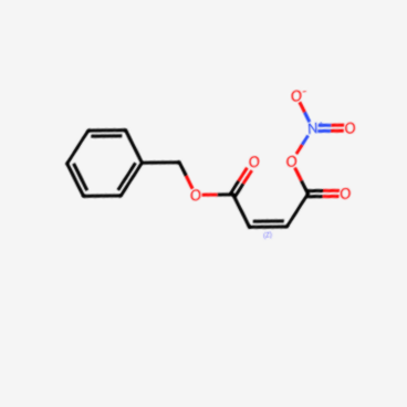 O=C(/C=C\C(=O)O[N+](=O)[O-])OCc1ccccc1